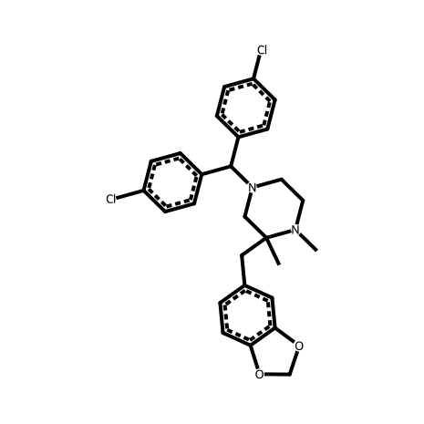 CN1CCN(C(c2ccc(Cl)cc2)c2ccc(Cl)cc2)CC1(C)Cc1ccc2c(c1)OCO2